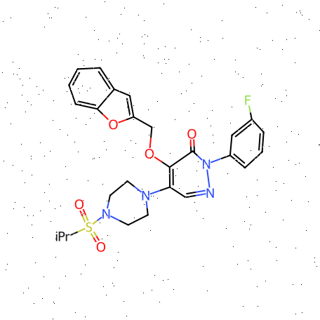 CC(C)S(=O)(=O)N1CCN(c2cnn(-c3cccc(F)c3)c(=O)c2OCc2cc3ccccc3o2)CC1